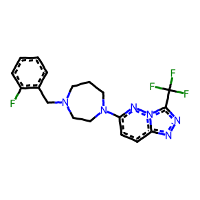 Fc1ccccc1CN1CCCN(c2ccc3nnc(C(F)(F)F)n3n2)CC1